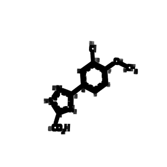 O=C(O)c1nc(-c2ccc(OC(F)(F)F)c(Cl)c2)ns1